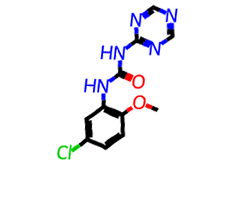 COc1ccc(Cl)cc1NC(=O)Nc1ncncn1